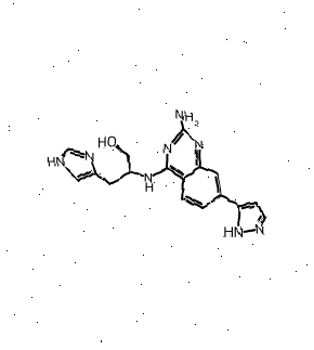 Nc1nc(N[C@H](CO)Cc2c[nH]cn2)c2ccc(-c3ccn[nH]3)cc2n1